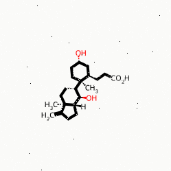 C=C1CC[C@H]2[C@H](O)[C@@H]([C@@]3(C)CC[C@H](O)C[C@H]3CCC(=O)O)CC[C@]12C